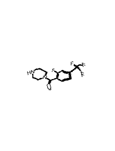 O=C(c1ccc(C(F)(F)F)cc1F)N1CCNCC1